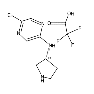 Clc1cnc(N[C@@H]2CCNC2)cn1.O=C(O)C(F)(F)F